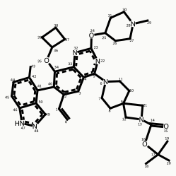 C=Cc1cc2c(N3CCC4(CC3)CN(C(=O)OC(C)(C)C)C4)nc(OC3CCN(C)CC3)nc2c(OC2CCC2)c1-c1c(C)ccc2[nH]ncc12